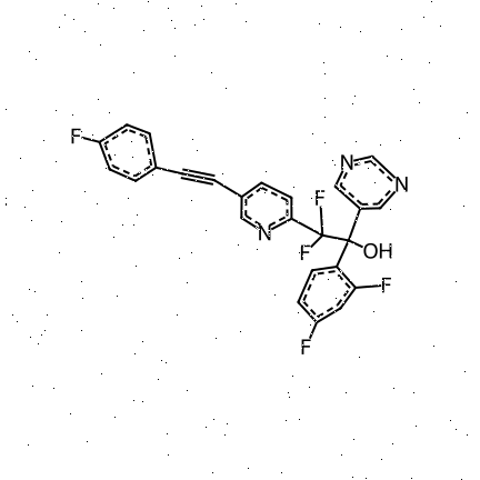 OC(c1cncnc1)(c1ccc(F)cc1F)C(F)(F)c1ccc(C#Cc2ccc(F)cc2)cn1